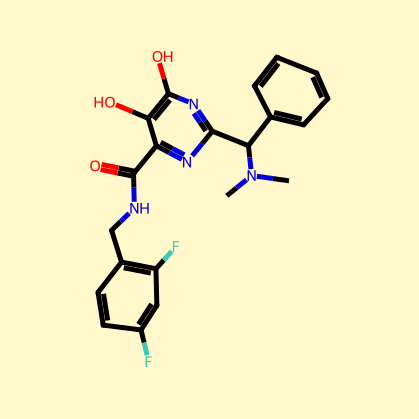 CN(C)C(c1ccccc1)c1nc(O)c(O)c(C(=O)NCc2ccc(F)cc2F)n1